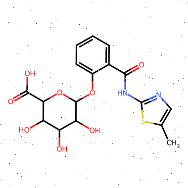 Cc1cnc(NC(=O)c2ccccc2OC2OC(C(=O)O)C(O)C(O)C2O)s1